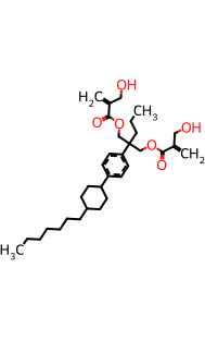 C=C(CO)C(=O)OCC(CCC)(COC(=O)C(=C)CO)c1ccc(C2CCC(CCCCCCC)CC2)cc1